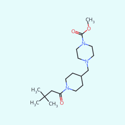 COC(=O)N1CCN(CC2CCN(C(=O)CC(C)(C)C)CC2)CC1